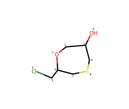 OC1COC(CCl)CSC1